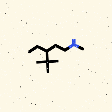 CCC(CCNC)C(C)(C)C